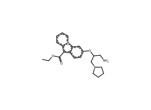 CCOC(=O)c1c2ccc(OC(CN)CN3CCCC3)cc2n2ccccc12